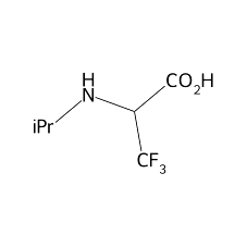 CC(C)NC(C(=O)O)C(F)(F)F